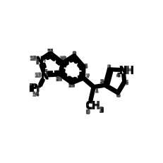 CC(C1=CNCC1)c1ccc2cnn(C(C)C)c2c1